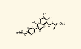 CCCCCCCCC(F)COc1c(F)c(F)cc2c(F)c(-c3ccc(OCCCCCC)nc3)ccc12